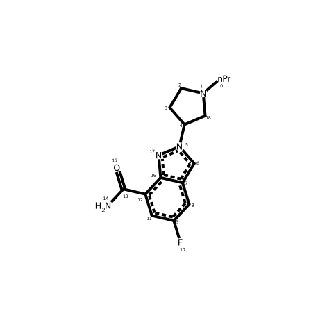 CCCN1CCC(n2cc3cc(F)cc(C(N)=O)c3n2)C1